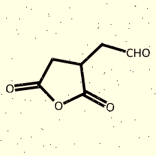 O=CCC1CC(=O)OC1=O